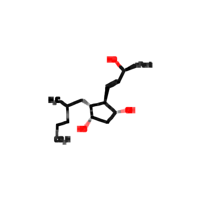 CCCCC[C@H](O)/C=C/[C@@H]1[C@@H](CC(C)CCC(=O)O)[C@@H](O)C[C@H]1O